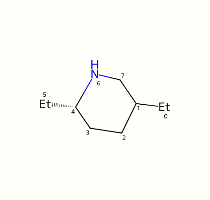 CCC1CC[C@H](CC)NC1